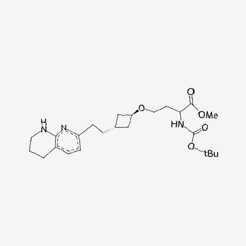 COC(=O)C(CCO[C@H]1C[C@H](CCc2ccc3c(n2)NCCC3)C1)NC(=O)OC(C)(C)C